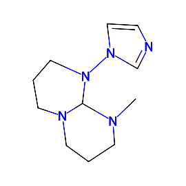 CN1CCCN2CCCN(n3ccnc3)C12